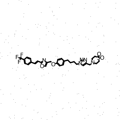 O=S1(=O)CCN(Cc2cn(CCCCc3ccc(OCc4coc(/C=C/c5ccc(C(F)(F)F)cc5)n4)cc3)nn2)CC1